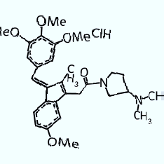 COc1ccc2c(c1)C(CC(=O)N1CCC(N(C)C)C1)=C(C)C2=Cc1cc(OC)c(OC)c(OC)c1.Cl